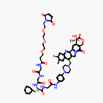 CC[C@@]1(O)C(=O)OCc2c1cc1n(c2=O)Cc2c-1nc1cc(F)c(C)cc1c2CN1CCN(c2ccc(NC(=O)CNC(=O)[C@H](Cc3ccccc3)NC(=O)CNC(=O)CNC(=O)CCOCCOCCOCCN3C(=O)C=CC3=O)cc2)CC1